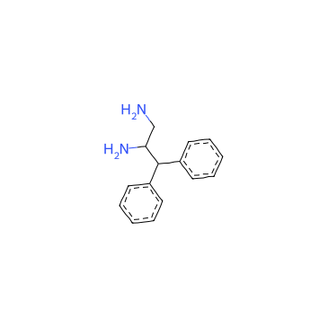 NCC(N)C(c1ccccc1)c1ccccc1